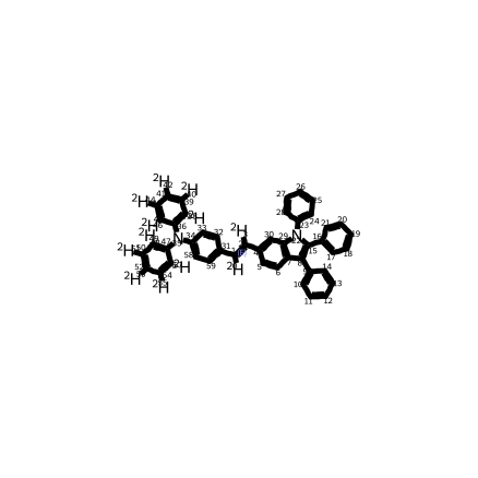 [2H]/C(=C(/[2H])c1ccc2c(-c3ccccc3)c(-c3ccccc3)n(-c3ccccc3)c2c1)c1ccc(N(c2c([2H])c([2H])c([2H])c([2H])c2[2H])c2c([2H])c([2H])c([2H])c([2H])c2[2H])cc1